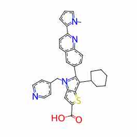 Cn1cccc1-c1ccc2cc(-c3c(C4CCCCC4)c4sc(C(=O)O)cc4n3Cc3ccncc3)ccc2n1